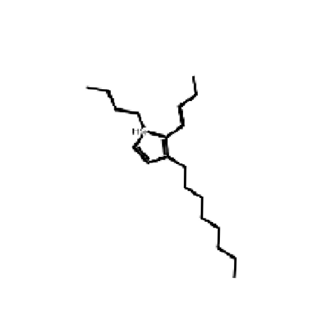 CCCCCCCCC1=C(CCCC)[SiH](CCCC)C=C1